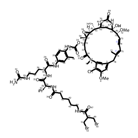 COc1cc2cc(c1Cl)N(C)C(=O)C[C@H](OC(=O)Nc1ccc(NC(=O)[C@H](CCCNC(N)=O)NC(=O)[C@@H](NC(=O)CCCCCNC(=O)C(CBr)CBr)C(C)C)cc1C)[C@]1(C)O[C@H]1[C@H](C)[C@@H]1C[C@@](O)(NC(=O)O1)[C@H](OC)/C=C/C=C(\C)C2